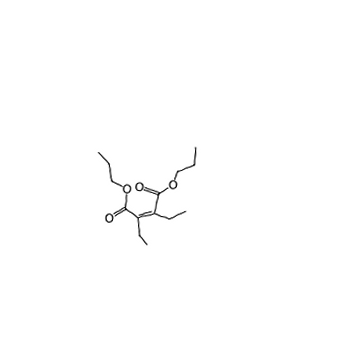 CCCOC(=O)C(CC)=C(CC)C(=O)OCCC